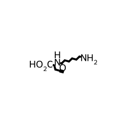 C#CCC(NC(=O)CCCCCN)C(=O)O